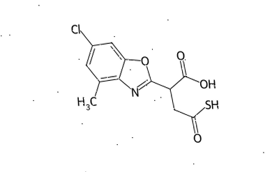 Cc1cc(Cl)cc2oc(C(CC(=O)S)C(=O)O)nc12